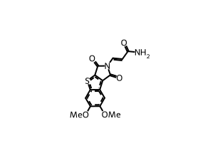 COc1cc2sc3c(c2cc1OC)C(=O)N(C=CC(N)=O)C3=O